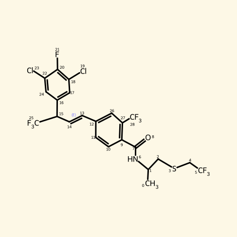 CC(CSCC(F)(F)F)NC(=O)c1ccc(/C=C/C(c2cc(Cl)c(F)c(Cl)c2)C(F)(F)F)cc1C(F)(F)F